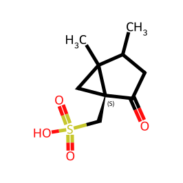 CC1CC(=O)[C@]2(CS(=O)(=O)O)CC12C